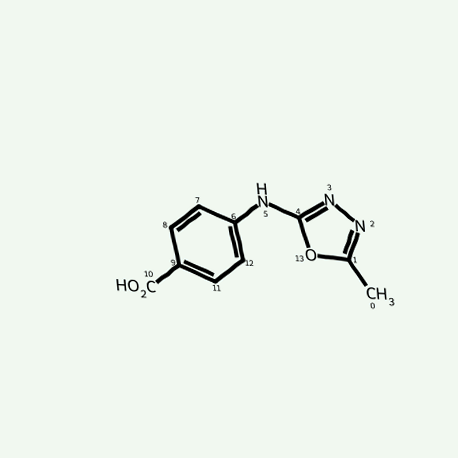 Cc1nnc(Nc2ccc(C(=O)O)cc2)o1